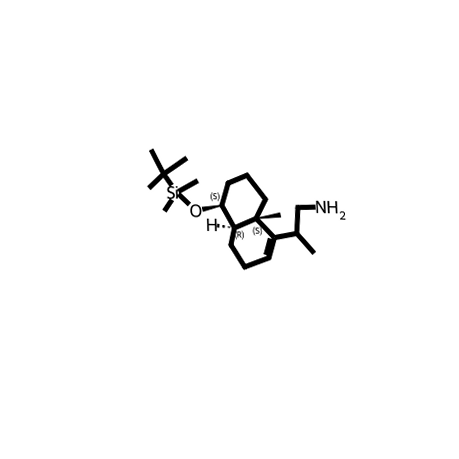 CC(CN)C1=CCC[C@H]2[C@@H](O[Si](C)(C)C(C)(C)C)CCC[C@]12C